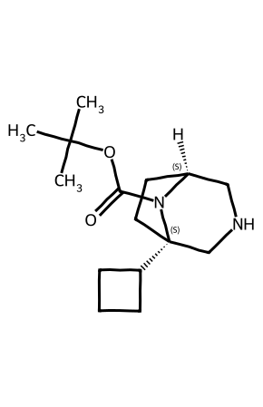 CC(C)(C)OC(=O)N1[C@H]2CC[C@]1(C1CCC1)CNC2